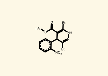 CCCOC(=O)C1=C(CC)NN=C(CC)C1c1ccccc1[N+](=O)[O-]